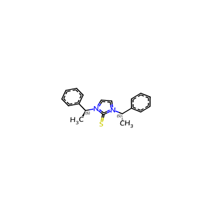 C[C@@H](c1ccccc1)n1ccn([C@@H](C)c2ccccc2)c1=S